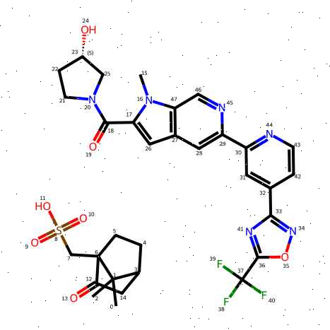 CC1(C)C2CCC1(CS(=O)(=O)O)C(=O)C2.Cn1c(C(=O)N2CC[C@H](O)C2)cc2cc(-c3cc(-c4noc(C(F)(F)F)n4)ccn3)ncc21